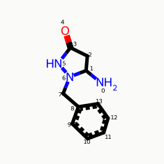 NC1CC(=O)NN1Cc1ccccc1